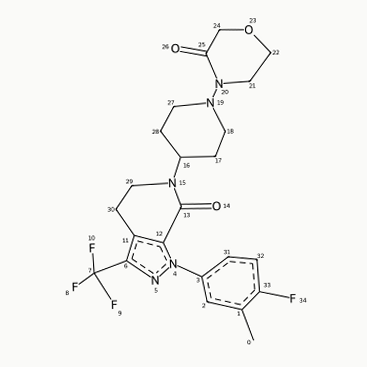 Cc1cc(-n2nc(C(F)(F)F)c3c2C(=O)N(C2CCN(N4CCOCC4=O)CC2)CC3)ccc1F